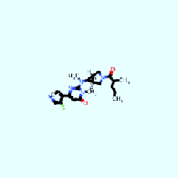 CCCC(C)C(=O)N1C[C@@H]2C(N(C)c3nc(-c4ccncc4F)cc(=O)n3C)[C@@H]2C1